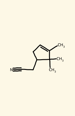 CC1=CCC(CC#N)C1(C)C